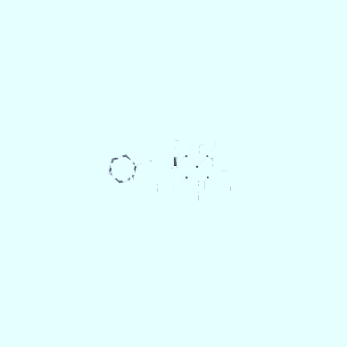 CC(C)(C)C(C(F)(F)F)(C(F)(F)F)C(C)(S)C(=O)OCc1ccccc1